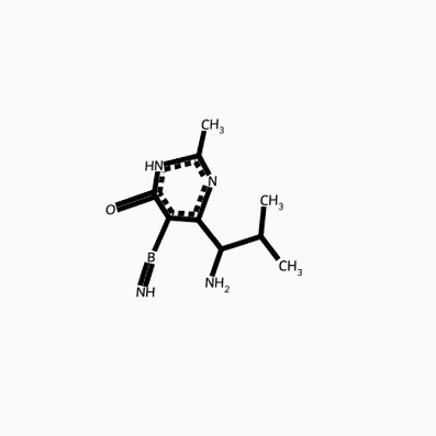 Cc1nc(C(N)C(C)C)c(B=N)c(=O)[nH]1